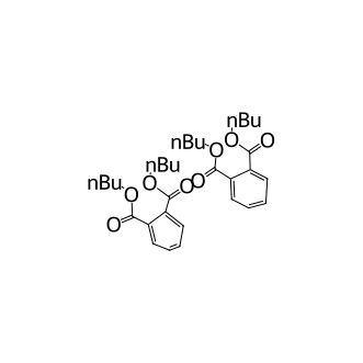 CCCCOC(=O)c1ccccc1C(=O)OCCCC.CCCCOC(=O)c1ccccc1C(=O)OCCCC